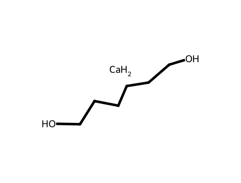 OCCCCCCO.[CaH2]